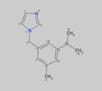 Cc1cc(Cn2ccnc2)cc(C(C)C)c1